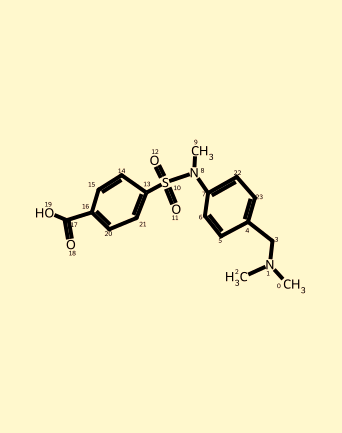 CN(C)Cc1ccc(N(C)S(=O)(=O)c2ccc(C(=O)O)cc2)cc1